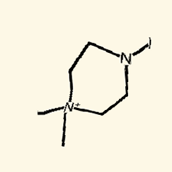 C[N+]1(C)CCN(I)CC1